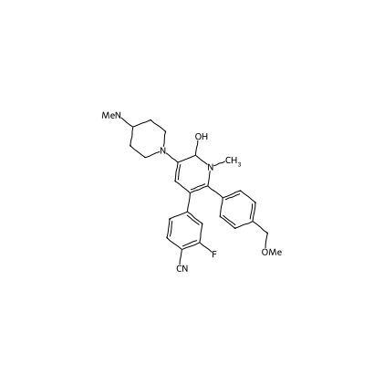 CNC1CCN(C2=CC(c3ccc(C#N)c(F)c3)=C(c3ccc(COC)cc3)N(C)C2O)CC1